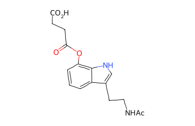 CC(=O)NCCc1c[nH]c2c(OC(=O)CCC(=O)O)cccc12